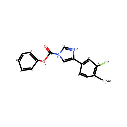 COc1ccc(-c2cn(C(=O)Oc3ccccc3)cn2)cc1F